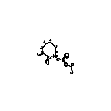 C=C1CCCCCN(CC(=O)OCC)C1=O